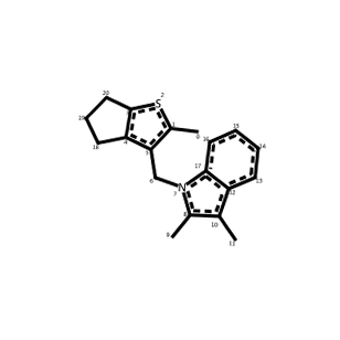 Cc1sc2c(c1Cn1c(C)c(C)c3ccccc31)CCC2